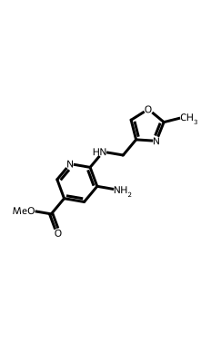 COC(=O)c1cnc(NCc2coc(C)n2)c(N)c1